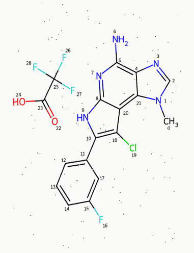 Cn1cnc2c(N)nc3[nH]c(-c4cccc(F)c4)c(Cl)c3c21.O=C(O)C(F)(F)F